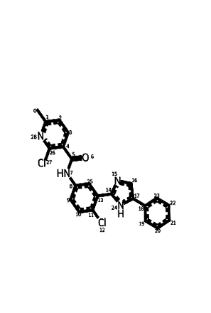 Cc1ccc(C(=O)Nc2ccc(Cl)c(-c3ncc(-c4ccccc4)[nH]3)c2)c(Cl)n1